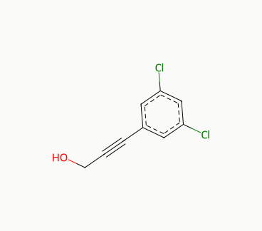 OCC#Cc1cc(Cl)cc(Cl)c1